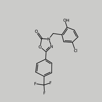 O=c1oc(-c2ccc(C(F)(F)F)cc2)nn1Cc1cc(Cl)ccc1O